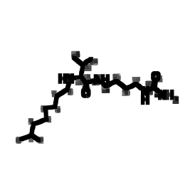 CC(C)CCCCCCN[C@H](C(=O)NCCCCNC(N)=O)C(C)C